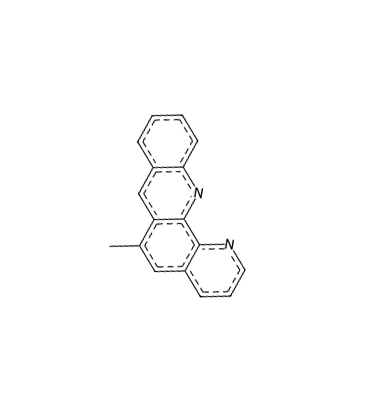 Cc1cc2cccnc2c2nc3ccccc3cc12